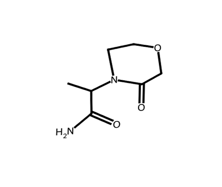 CC(C(N)=O)N1CCOCC1=O